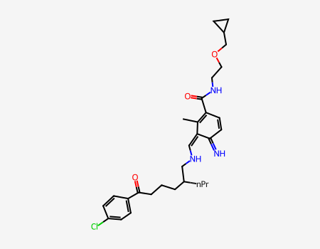 CCCC(CCCC(=O)c1ccc(Cl)cc1)CN/C=C1\C(=N)C=CC(C(=O)NCCOCC2CC2)=C1C